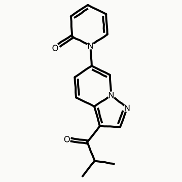 CC(C)C(=O)c1cnn2cc(-n3ccccc3=O)ccc12